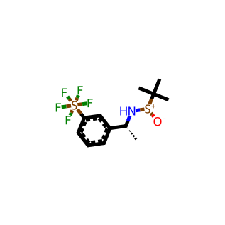 C[C@@H](N[S+]([O-])C(C)(C)C)c1cccc(S(F)(F)(F)(F)F)c1